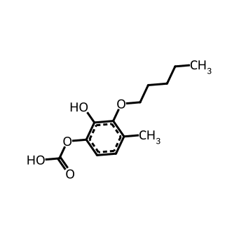 CCCCCOc1c(C)ccc(OC(=O)O)c1O